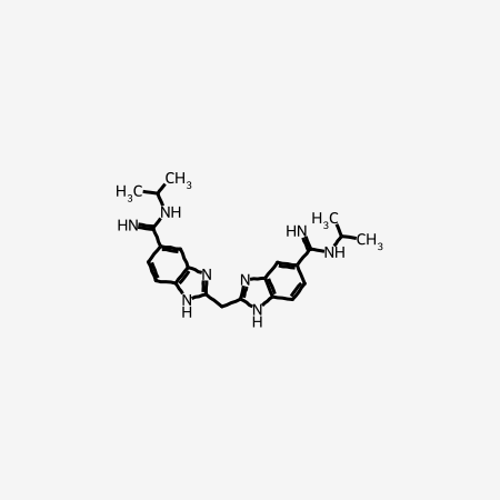 CC(C)NC(=N)c1ccc2[nH]c(Cc3nc4cc(C(=N)NC(C)C)ccc4[nH]3)nc2c1